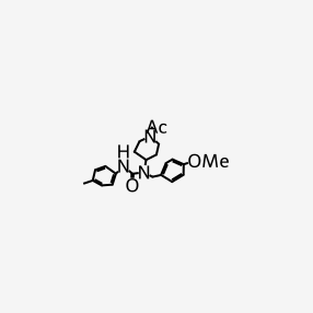 COc1ccc(CN(C(=O)Nc2ccc(C)cc2)C2CCN(C(C)=O)CC2)cc1